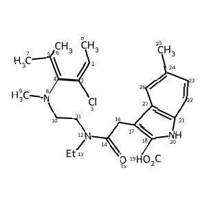 C/C=C(/Cl)C(=C(C)C)N(C)CCN(CC)C(=O)Cc1c(C(=O)O)[nH]c2ccc(C)cc12